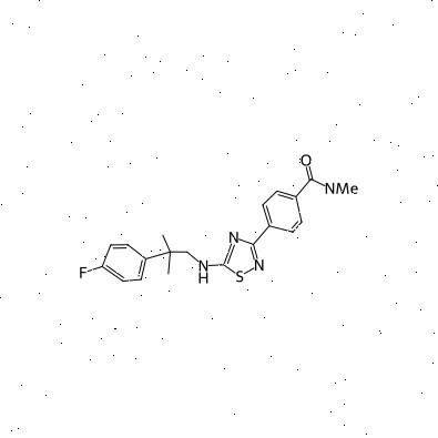 CNC(=O)c1ccc(-c2nsc(NCC(C)(C)c3ccc(F)cc3)n2)cc1